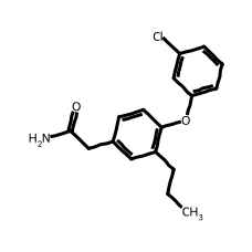 CCCc1cc(CC(N)=O)ccc1Oc1cccc(Cl)c1